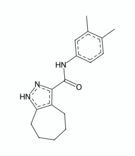 Cc1ccc(NC(=O)c2n[nH]c3c2CCCCC3)cc1C